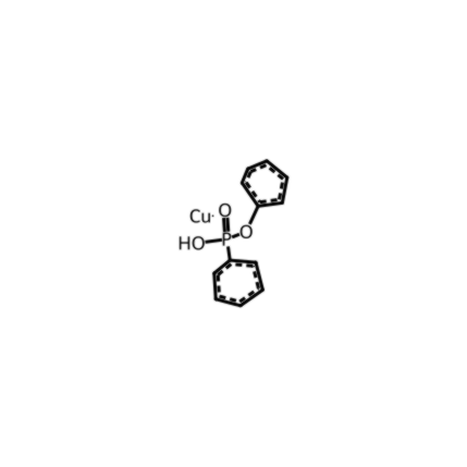 O=P(O)(Oc1ccccc1)c1ccccc1.[Cu]